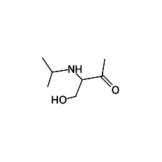 CC(=O)C(CO)NC(C)C